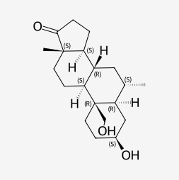 C[C@H]1C[C@@H]2[C@H](CC[C@]3(C)C(=O)CC[C@@H]23)[C@@]2(CO)CC[C@H](O)C[C@H]12